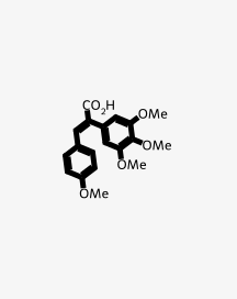 COc1ccc(/C=C(/C(=O)O)c2cc(OC)c(OC)c(OC)c2)cc1